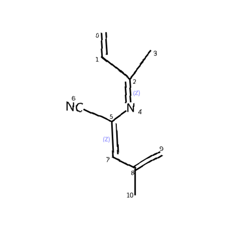 C=C/C(C)=N\C(C#N)=C/C(=C)C